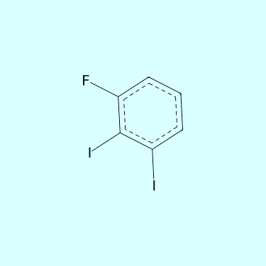 Fc1cccc(I)c1I